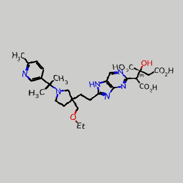 CCOCC1(CCc2nc3nc(C(C(=O)O)[C@](O)(CC(=O)O)C(=O)O)ncc3[nH]2)CCN(C(C)(C)c2ccc(C)nc2)C1